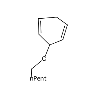 CCCCCCOC1C=CCC=C1